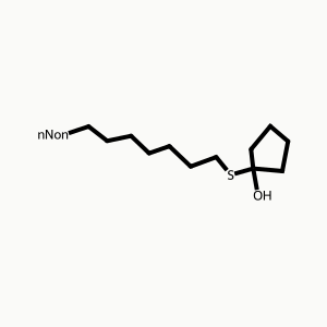 CCCCCCCCCCCCCCCCSC1(O)CCCC1